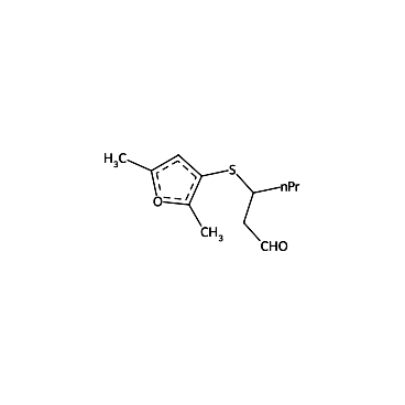 CCCC(CC=O)Sc1cc(C)oc1C